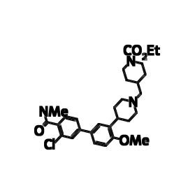 CCOC(=O)N1CCC(CN2CCC(c3cc(-c4ccc(C(=O)NC)c(Cl)c4)ccc3OC)CC2)CC1